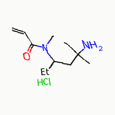 C=CC(=O)N(C)C(CC)CC(C)(C)N.Cl